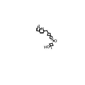 Cn1ccc2ccc(CC3CC4(C3)CN(C(=O)[C@H]3C[C@@](C)(O)C3)C4)nc21